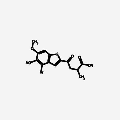 COc1cc2sc(C(=O)CC(C)C(=O)O)cc2c(Br)c1O